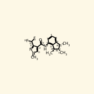 C[C@@H]1[C@@H](C)c2cccc(NC(=O)c3cn(C)nc3C(F)F)c2[C@@H]1C